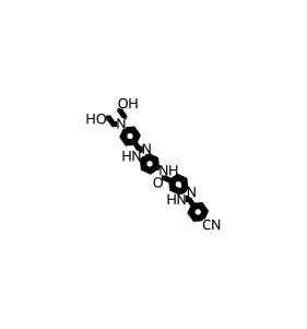 N#Cc1ccc(-c2nc3ccc(C(=O)Nc4ccc5[nH]c(-c6ccc(N(CCO)CCO)cc6)nc5c4)cc3[nH]2)cc1